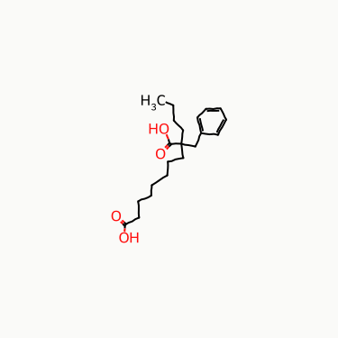 CCCCC(CCCCCCCC(=O)O)(Cc1ccccc1)C(=O)O